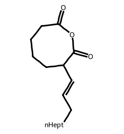 CCCCCCCCC=CC1CCCCC(=O)OC1=O